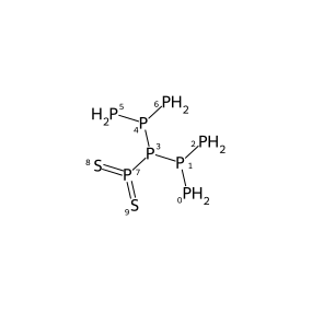 PP(P)P(P(P)P)P(=S)=S